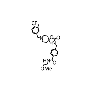 COCCNC(=O)c1ccc(CN2CC3(CCN(Cc4ccc(C(F)(F)F)cc4)CC3)OC2=O)cc1